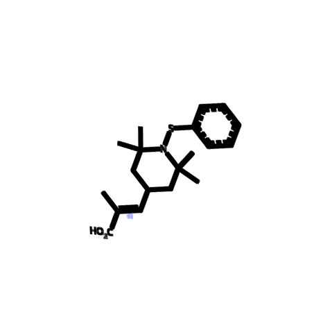 C/C(=C\C1CC(C)(C)N(Sc2ccccc2)C(C)(C)C1)C(=O)O